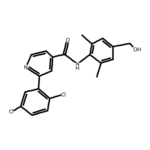 Cc1cc(CO)cc(C)c1NC(=O)c1ccnc(-c2cc(Cl)ccc2Cl)c1